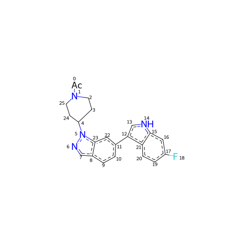 CC(=O)N1CCC(n2ncc3ccc(-c4c[nH]c5cc(F)ccc45)cc32)CC1